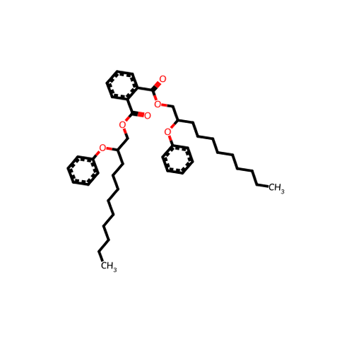 CCCCCCCCCC(COC(=O)c1ccccc1C(=O)OCC(CCCCCCCCC)Oc1ccccc1)Oc1ccccc1